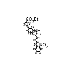 CCOC(=O)c1coc(-c2ccnc(NC(C)CCCCOc3ccccc3[N+](=O)[O-])c2)n1